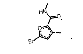 CNC(=O)c1oc(Br)cc1C